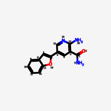 NC(=O)c1cc(-c2cc3ccccc3o2)cnc1N